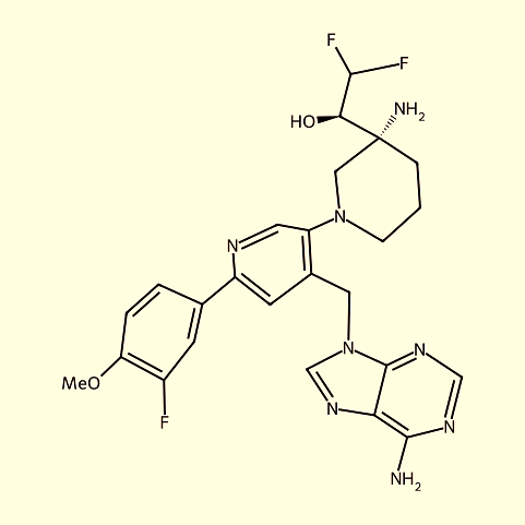 COc1ccc(-c2cc(Cn3cnc4c(N)ncnc43)c(N3CCC[C@](N)([C@@H](O)C(F)F)C3)cn2)cc1F